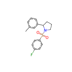 Cc1cccc(C2CCCN2S(=O)(=O)c2ccc(F)cc2)c1